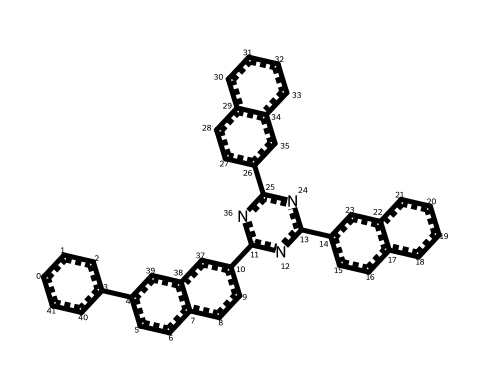 c1ccc(-c2ccc3ccc(-c4nc(-c5ccc6ccccc6c5)nc(-c5ccc6ccccc6c5)n4)cc3c2)cc1